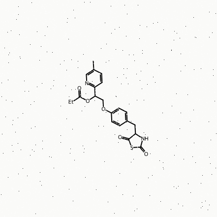 CCC(=O)OC(COc1ccc(CC2NC(=O)SC2=O)cc1)c1ccc(C)cn1